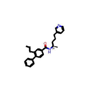 CCCc1cc(C(=O)N[C@H](C)CCCc2cccnc2)ccc1-c1ccccc1